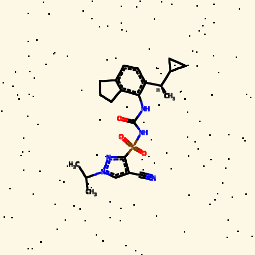 CC(C)n1cc(C#N)c(S(=O)(=O)NC(=O)Nc2c([C@H](C)C3CC3)ccc3c2CCC3)n1